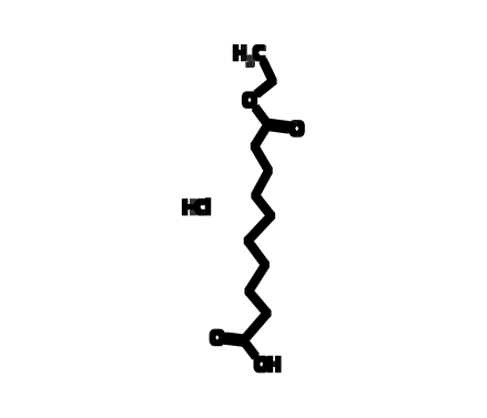 CCOC(=O)CCCCCCCCC(=O)O.Cl